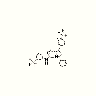 O=C(CN1C(=O)N(c2ccc(C(F)(F)F)nc2)C[C@@H]1c1ccccc1)Nc1cccc(C(F)(F)F)c1